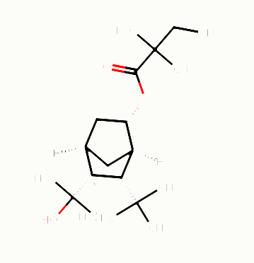 CCC(C)(C)C(=O)O[C@H]1C[C@H]2C[C@@H]1[C@H](C(C)(C)C)[C@@H]2C(C)(C)O